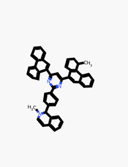 CC1CC=Cc2c(-c3cc(-c4cc5ccccc5c5ccccc45)nc(-c4ccc(C5c6ccccc6C=CN5C)cc4)n3)cc3ccccc3c21